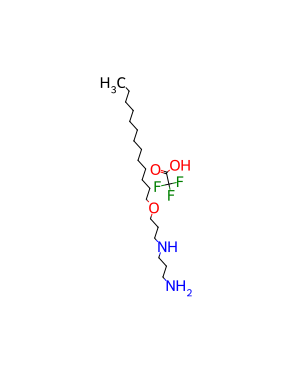 CCCCCCCCCCCCCOCCCNCCCN.O=C(O)C(F)(F)F